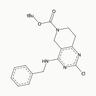 CC(C)(C)OC(=O)N1CCc2nc(Cl)nc(NCc3ccccc3)c2C1